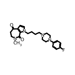 CN1CCC(=O)c2ccn(CCCCN3CCN(c4ccc(F)cc4)CC3)c2C1=O